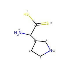 NC(C(=S)S)C1CC[N]C1